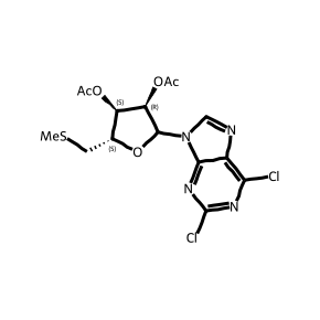 CSC[C@H]1OC(n2cnc3c(Cl)nc(Cl)nc32)[C@H](OC(C)=O)[C@@H]1OC(C)=O